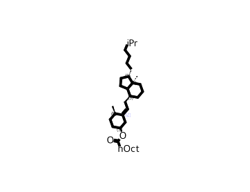 CCCCCCCCC(=O)O[C@H]1CC[C@@H](C)/C(=C\C[C@@H]2CCC[C@@]3(C)C2CC[C@@H]3CCCCC(C)C)C1